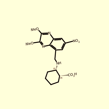 COc1nc2cc([N+](=O)[O-])cc(CN[C@H]3CCCC[C@H]3C(=O)O)c2nc1OC